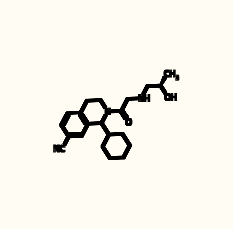 C[C@@H](O)CNCC(=O)N1CCc2ccc(C#N)cc2C1C1CCCCC1